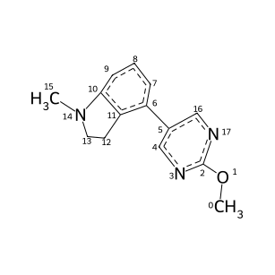 COc1ncc(-c2cccc3c2CCN3C)cn1